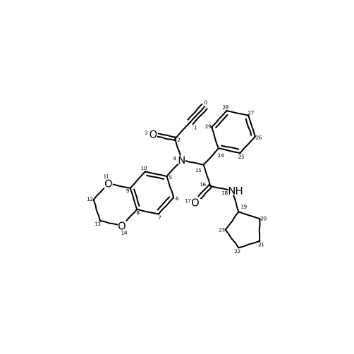 C#CC(=O)N(c1ccc2c(c1)OCCO2)C(C(=O)NC1CCCC1)c1ccccc1